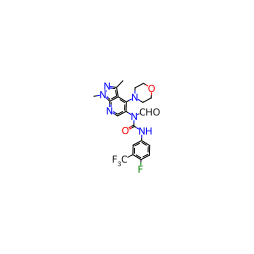 Cc1nn(C)c2ncc(N(C=O)C(=O)Nc3ccc(F)c(C(F)(F)F)c3)c(N3CCOCC3)c12